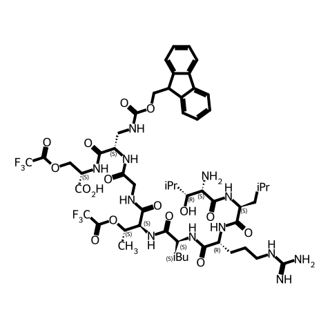 CC[C@H](C)[C@H](NC(=O)[C@@H](CCCNC(=N)N)NC(=O)[C@H](CC(C)C)NC(=O)[C@@H](N)[C@H](O)C(C)C)C(=O)N[C@H](C(=O)NCC(=O)N[C@@H](CNC(=O)OCC1c2ccccc2-c2ccccc21)C(=O)N[C@@H](COC(=O)C(F)(F)F)C(=O)O)[C@H](C)OC(=O)C(F)(F)F